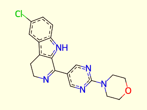 Clc1ccc2[nH]c3c(c2c1)CCN=C3c1cnc(N2CCOCC2)nc1